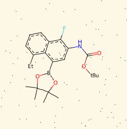 CCc1cccc2c(F)c(NC(=O)OC(C)(C)C)cc(B3OC(C)(C)C(C)(C)O3)c12